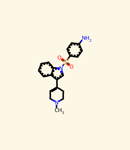 CN1CC=C(c2cn(S(=O)(=O)c3ccc(N)cc3)c3ccccc23)CC1